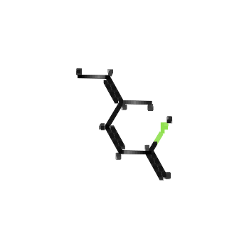 C=C(F)/C=C\C(C)=C/C